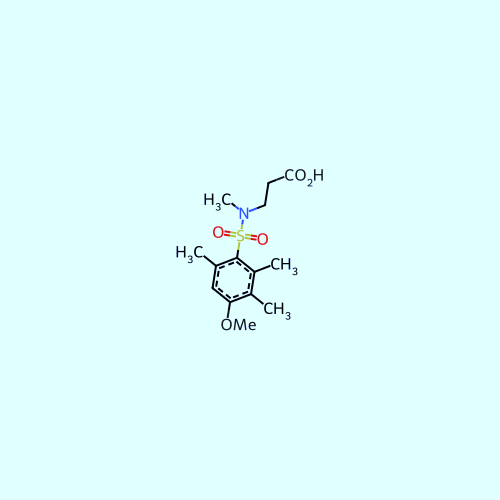 COc1cc(C)c(S(=O)(=O)N(C)CCC(=O)O)c(C)c1C